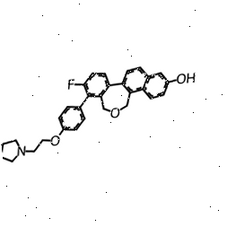 Oc1ccc2c3c(ccc2c1)-c1ccc(F)c(-c2ccc(OCCN4CCCC4)cc2)c1COC3